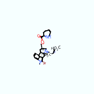 CN1C[C@H](COC(=O)C2CCCCCN2)CC2c3cccc4c3c(c(Br)n4C)C[C@H]21.O=C(O)/C=C\C(=O)O